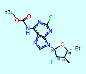 CC[C@H]1O[C@@H](n2cnc3c(NC(=O)OC(C)(C)C)nc(Cl)nc32)[C@@H](F)[C@@H]1C